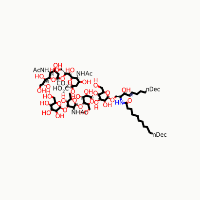 CCCCCCCCCCCCC/C=C/[C@@H](O)[C@H](CO[C@@H]1OC(CO)[C@@H](O[C@@H]2OC(CO)[C@H](O[C@@H]3OC(CO[C@]4(C(=O)O)CC(O)[C@@H](NC(C)=O)C([C@H](O)[C@@H](CO)O[C@]5(C(=O)O)CC(O)[C@@H](NC(C)=O)C([C@H](O)[C@H](O)CO)O5)O4)[C@H](O)[C@H](O[C@@H]4OC(CO)[C@H](O)[C@H](O)C4O)C3NC(C)=O)[C@H](O)C2O)[C@H](O)C1O)NC(=O)CCCCCCCCCCCCCCCCCCC